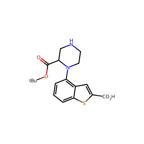 CC(C)(C)OC(=O)C1CNCCN1c1cccc2sc(C(=O)O)cc12